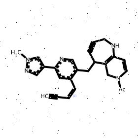 C#C/C=C\c1cc(-c2cnn(C)c2)ncc1CC1C#CCNC2=C1CN(C(C)=O)C=C2